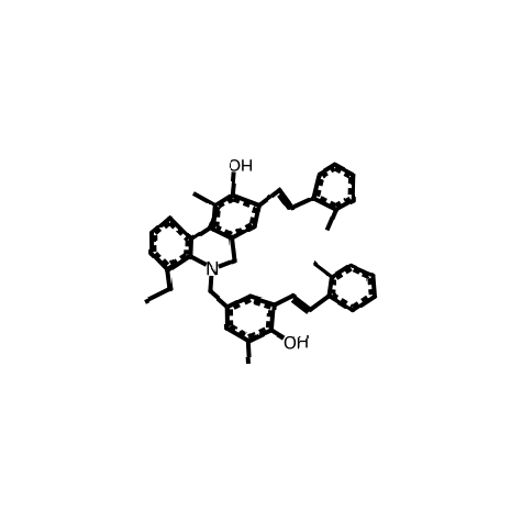 CCc1cccc(CC)c1N(Cc1cc(C)c(O)c(/C=C/c2ccccc2C)c1)Cc1cc(C)c(O)c(/C=C/c2ccccc2C)c1